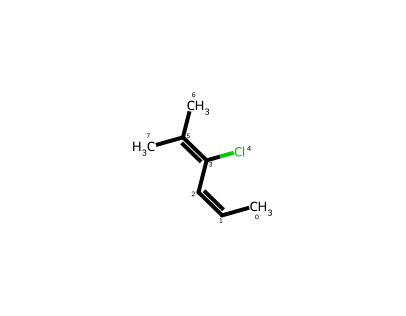 C/C=C\C(Cl)=C(C)C